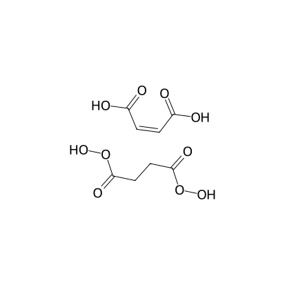 O=C(CCC(=O)OO)OO.O=C(O)/C=C\C(=O)O